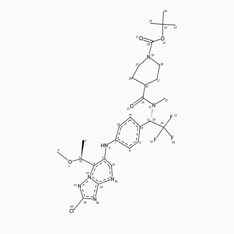 CO[C@@H](C)c1c(Nc2ccc([C@H](N(C)C(=O)C3CCN(C(=O)OC(C)(C)C)CC3)C(F)(F)F)cc2)cnc2nc(Cl)nn12